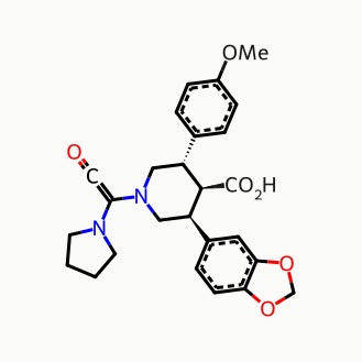 COc1ccc([C@H]2CN(C(=C=O)N3CCCC3)C[C@H](c3ccc4c(c3)OCO4)[C@@H]2C(=O)O)cc1